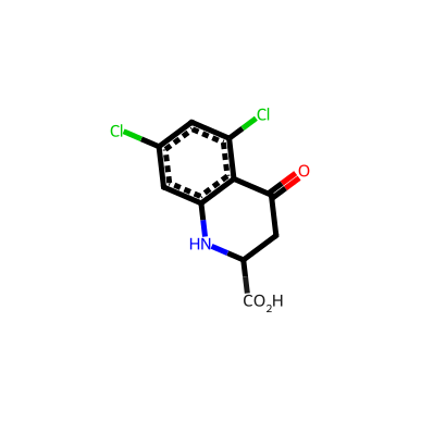 O=C1CC(C(=O)O)Nc2cc(Cl)cc(Cl)c21